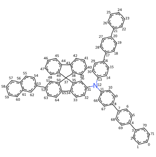 c1ccc(-c2ccc(-c3ccc(N(c4ccc(-c5ccc(-c6ccccc6)cc5)cc4)c4ccc5c(c4)C4(c6ccccc6-c6ccccc64)c4cc(-c6ccc7ccccc7c6)ccc4-5)cc3)cc2)cc1